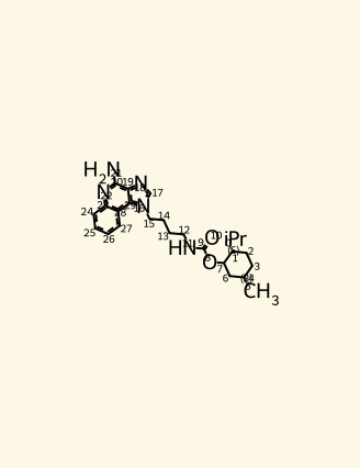 CC(C)[C@@H]1CC[C@@H](C)CC1OC(=O)NCCCCn1cnc2c(N)nc3ccccc3c21